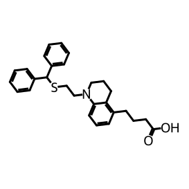 O=C(O)CCCc1cccc2c1CCCN2CCSC(c1ccccc1)c1ccccc1